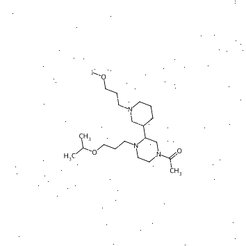 CC(=O)N1CCN(CCCOC(C)C)C(C2CCCN(CCCOI)C2)C1